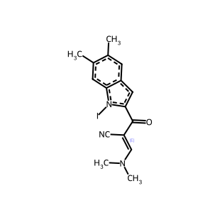 Cc1cc2cc(C(=O)/C(C#N)=C/N(C)C)n(I)c2cc1C